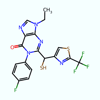 CCn1cnc2c(=O)n(-c3ccc(F)cc3)c(C(S)c3csc(C(F)(F)F)n3)nc21